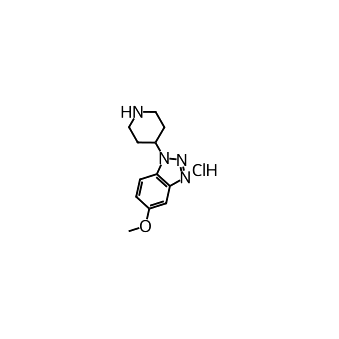 COc1ccc2c(c1)nnn2C1CCNCC1.Cl